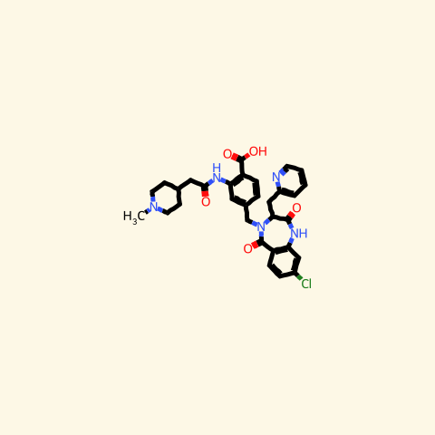 CN1CCC(CC(=O)Nc2cc(CN3C(=O)c4ccc(Cl)cc4NC(=O)C3Cc3ccccn3)ccc2C(=O)O)CC1